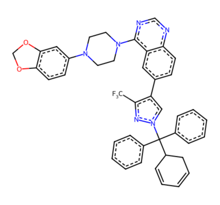 FC(F)(F)c1nn(C(c2ccccc2)(c2ccccc2)C2C=CC=CC2)cc1-c1ccc2ncnc(N3CCN(c4ccc5c(c4)OCO5)CC3)c2c1